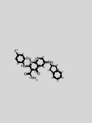 CCn1c(Nc2ccc(F)cc2)c(C(N)=O)c(=O)c2cc(NC3Cc4ccccc4C3)cnc21